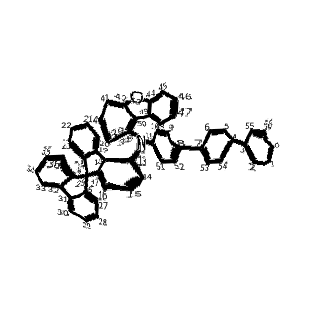 c1ccc(-c2ccc(-c3ccc(N(c4cccc5c4-c4ccccc4C54c5ccccc5-c5ccccc54)c4cccc5oc6ccccc6c45)cc3)cc2)cc1